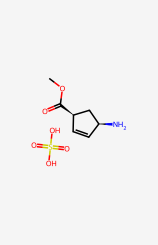 COC(=O)[C@@H]1C=C[C@H](N)C1.O=S(=O)(O)O